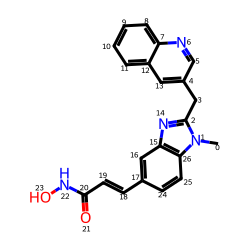 Cn1c(Cc2cnc3ccccc3c2)nc2cc(C=CC(=O)NO)ccc21